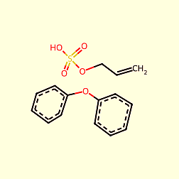 C=CCOS(=O)(=O)O.c1ccc(Oc2ccccc2)cc1